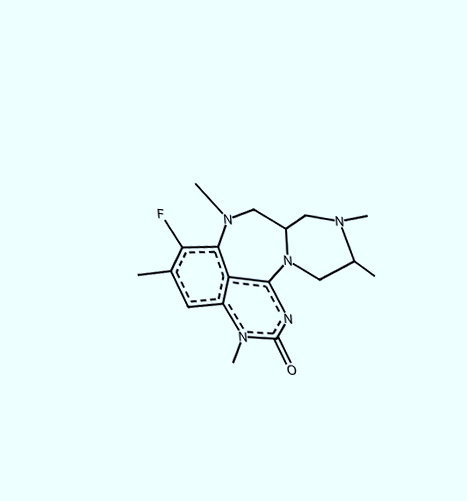 Cc1cc2c3c(nc(=O)n2C)N2CC(C)N(C)CC2CN(C)c3c1F